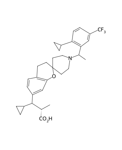 CC(c1cc(C(F)(F)F)ccc1C1CC1)N1CCC2(CCc3ccc(C(C4CC4)[C@H](C)C(=O)O)cc3O2)CC1